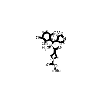 CCCCOC(=O)N1CC(C(=O)N(C)C(c2ccncc2)c2c(OC)ccc(Cl)c2Cl)C1